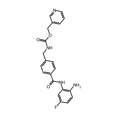 Nc1ccc(F)cc1NC(=O)c1ccc(CNC(=O)OCc2cccnc2)cc1